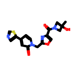 CC1(O)CN(C(=O)c2coc(Cn3ccc(-c4cncs4)cc3=O)n2)C1